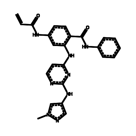 C=CC(=O)Nc1ccc(C(=O)Nc2ccccc2)c(Nc2ccnc(Nc3cnn(C)c3)n2)c1